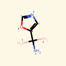 BC(B)(N)c1cnco1